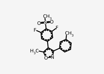 Cc1cccc(-c2noc(C)c2-c2cc(F)c(S(C)(=O)=O)c(F)c2)c1